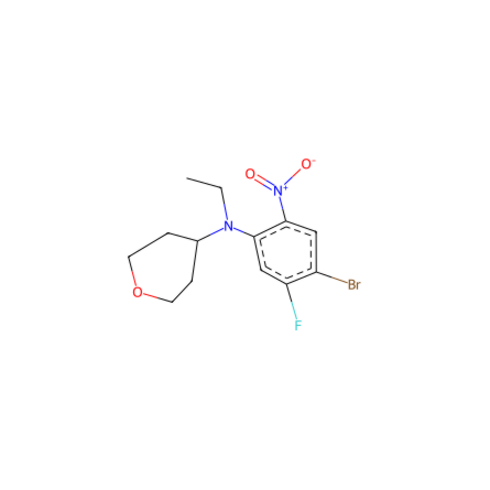 CCN(c1cc(F)c(Br)cc1[N+](=O)[O-])C1CCOCC1